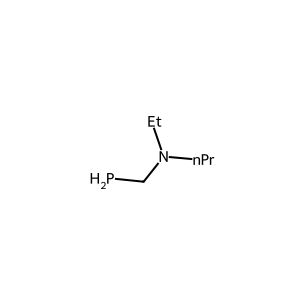 CCCN(CC)CP